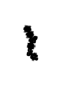 CN1CCN(C(=O)COc2ccc(C3CN(c4ccc(-c5ccccc5)cc4)C(=O)O3)cc2)CC1